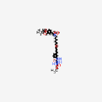 CCOC(=O)NNC(=O)Nc1cccc(CCCCOCCCCCCN2C[C@@H](c3ccc4c(c3)COC(C)(C)O4)OC2=O)c1